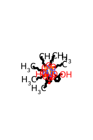 CCCCCON1P(OCCCCC)N=P(Oc2ccccc2CO)(Oc2ccccc2CO)N(OCCCCC)P(OCCCCC)N(OCCCCC)P1OCCCCC